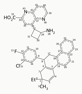 CCC1(C)C=CC2=C(C1)C(c1ccc(F)c(Cl)c1)Cc1c2ccc2ccccc12.NC1CCC1.O=C(O)c1ccc2ncccc2n1